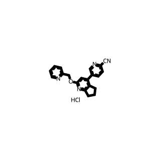 Cl.N#Cc1ccc(-c2cc(OCc3ccccn3)nc3c2CCC3)cn1